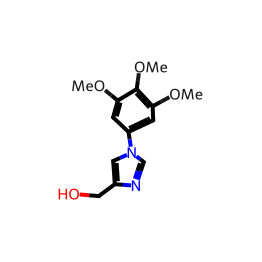 COc1cc(-n2cnc(CO)c2)cc(OC)c1OC